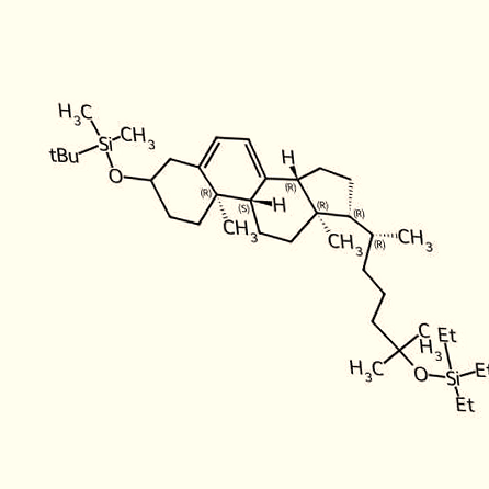 CC[Si](CC)(CC)OC(C)(C)CCC[C@@H](C)[C@H]1CC[C@H]2C3=CC=C4CC(O[Si](C)(C)C(C)(C)C)CC[C@]4(C)[C@H]3CC[C@]12C